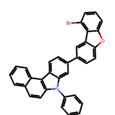 Brc1cccc2oc3ccc(-c4ccc5c6c7ccccc7ccc6n(-c6ccccc6)c5c4)cc3c12